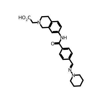 O=C(O)CN1CCc2ccc(NC(=O)c3ccc(C=NN4CCCCC4)cc3)cc2C1